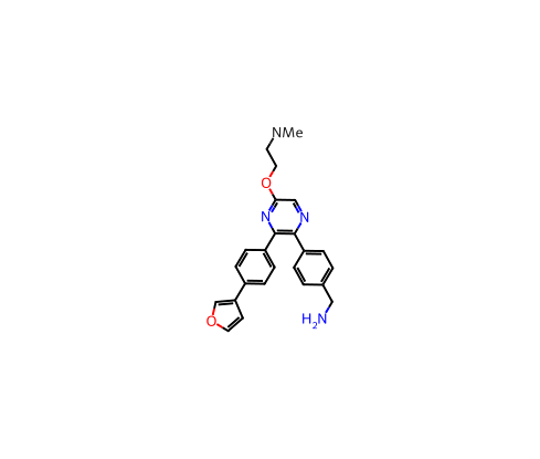 CNCCOc1cnc(-c2ccc(CN)cc2)c(-c2ccc(-c3ccoc3)cc2)n1